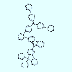 C1=CCC(C2(c3ccccc3)c3ccccc3-c3cc(-n4c5ccccc5c5ccc(-c6ccccc6-c6ccc(N(c7ccc(-c8ccccc8)cc7)c7ccc(-c8ccccc8)cc7)cc6)cc54)ccc32)C=C1